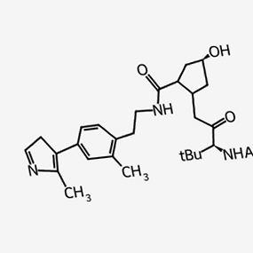 CC(=O)N[C@H](C(=O)CC1C[C@H](O)CC1C(=O)NCCc1ccc(C2=C(C)N=CC2)cc1C)C(C)(C)C